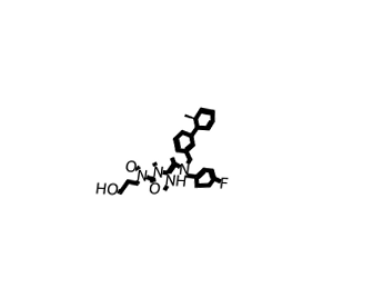 CN/C(=C(/C)N(CC1=CC(C2C=CC=C[C@@H]2C)CC=C1)CC1=CC=C(F)CC1)N(C)C(=O)N(C=O)CCCO